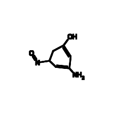 NC1=CC(N=O)CC(O)=C1